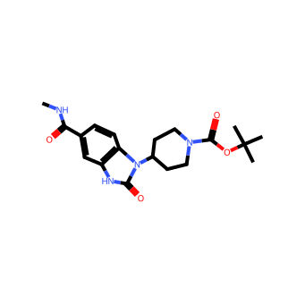 CNC(=O)c1ccc2c(c1)[nH]c(=O)n2C1CCN(C(=O)OC(C)(C)C)CC1